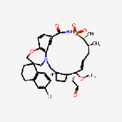 CO[C@]1(CC=O)/C=C/C[C@H](C)[C@@H](C)S(=O)(=O)NC(=O)c2ccc3c(c2)N(C[C@@H]2CC[C@H]21)C[C@@]1(CCCc2cc(Cl)ccc21)CO3